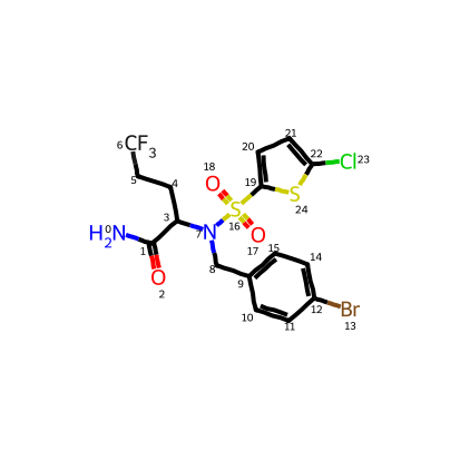 NC(=O)C(CCC(F)(F)F)N(Cc1ccc(Br)cc1)S(=O)(=O)c1ccc(Cl)s1